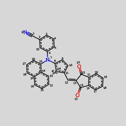 N#Cc1cccc(N(c2ccc(C=C3C(=O)c4ccccc4C3=O)[se]2)c2cccc3ccccc23)c1